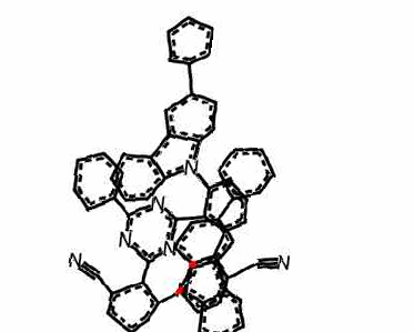 N#Cc1ccccc1-c1cccc(-n2c3ccccc3c3cc(-c4ccccc4)ccc32)c1-c1nc(-c2ccccc2)nc(-c2c(C#N)cccc2-n2c3ccccc3c3cc(-c4ccccc4)ccc32)n1